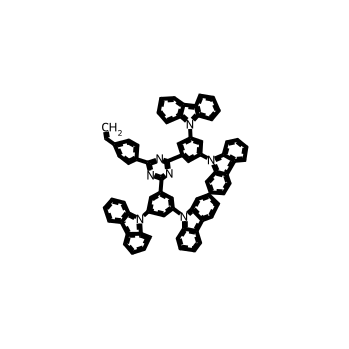 C=Cc1ccc(-c2nc(-c3cc(-n4c5ccccc5c5ccccc54)cc(-n4c5ccccc5c5ccccc54)c3)nc(-c3cc(-n4c5ccccc5c5ccccc54)cc(-n4c5ccccc5c5ccccc54)c3)n2)cc1